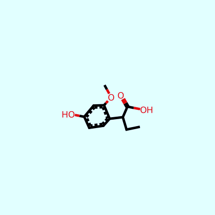 CCC(C(=O)O)c1ccc(O)cc1OC